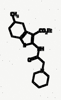 CCOC(=O)c1c(NC(=O)CN2CCCCC2)sc2c1CC(C)CC2